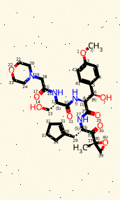 COc1ccc([C@@H](O)[C@H](NC(=O)[C@H](CO)NC(=O)CN2CCOCC2)C(=O)N[C@@H](CC2=CCCC2)C(=O)[C@@]2(C)CO2)cc1